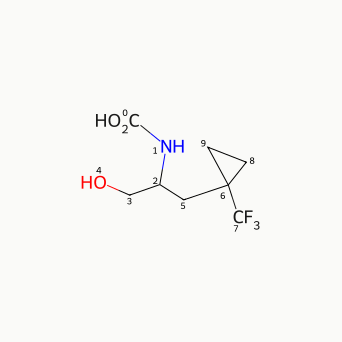 O=C(O)NC(CO)CC1(C(F)(F)F)CC1